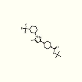 Cc1cc(N2CCN(C(=O)OC(C)(C)C)CC2)nn1C1CCCC(C(F)(F)F)C1